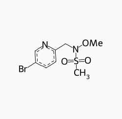 CON(Cc1ccc(Br)cn1)S(C)(=O)=O